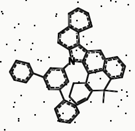 CC1(C)C2=C(CCC=C2)c2c3c1cccc3cc1c3c4ccccc4ccc3n(-c3cc(-c4ccccc4)cc(-c4ccccc4)c3)c21